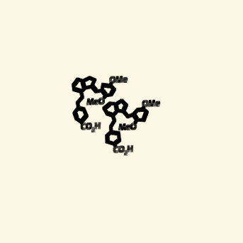 COc1ccc(OC)c(C=C2CCc3cccc(CCc4ccc(C(=O)O)cc4)c32)c1.COc1ccc(OC)c(CC2=CCc3cccc(CCc4ccc(C(=O)O)cc4)c32)c1